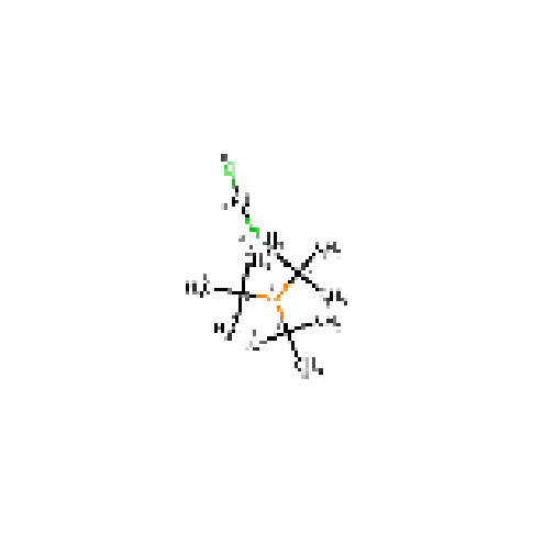 CC(C)(C)P(C(C)(C)C)C(C)(C)C.[Cl][Pd][Cl]